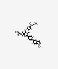 COC(=O)N1CCC(CN2C(=O)C3(CN(C(=O)O)C3)N=C2c2ccc(-c3ccc4c(cnn4C)c3)cc2)C1